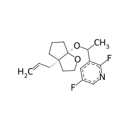 C=CC[C@]12CCC[C@@]1(OC(C)c1cc(F)cnc1F)OCC2